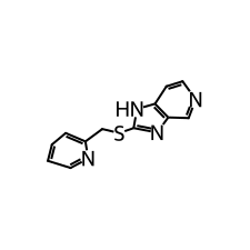 c1ccc(CSc2nc3cnccc3[nH]2)nc1